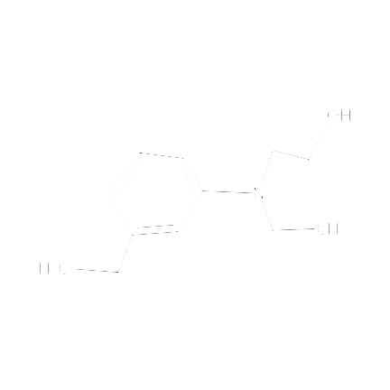 CCc1cccc(N(CC)CCO)c1